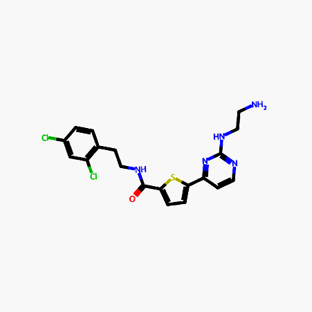 NCCNc1nccc(-c2ccc(C(=O)NCCc3ccc(Cl)cc3Cl)s2)n1